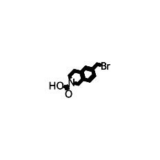 O=C(O)N1CCc2cc(CBr)ccc2C1